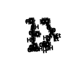 CCN(CC)CCN(CCNCCc1ccc(O)c2[nH]c(=O)sc12)C(=O)CCOCCc1cccc2ccccc12.O=C(CCNCCc1cccc(F)c1)N(CCNCCc1ccc(O)c2[nH]c(=O)sc12)C1CCCCC1